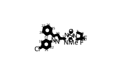 CNC(=NS(=O)(=O)N1CCC(F)(F)C1)C1=NN(c2ccc(Cl)cc2)C(c2ccccc2)C1